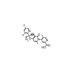 BC(B)(Oc1cc(C)n(-c2cc(C(=O)O)ncc2C)c(=O)c1Cl)c1ncc(F)cc1F